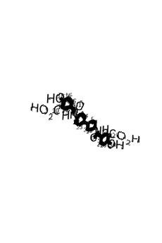 O=C(Nc1ccc(-c2ccc(NC(=O)c3ccc(O)c(C(=O)O)c3)cc2)cc1)c1ccc(O)c(C(=O)O)c1